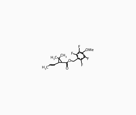 CC=CC1C(C(=O)OCc2c(F)c(F)c(OC)c(F)c2F)C1(C)C